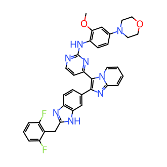 COc1cc(N2CCOCC2)ccc1Nc1nccc(-c2c(-c3ccc4nc(Cc5c(F)cccc5F)[nH]c4c3)nc3ccccn23)n1